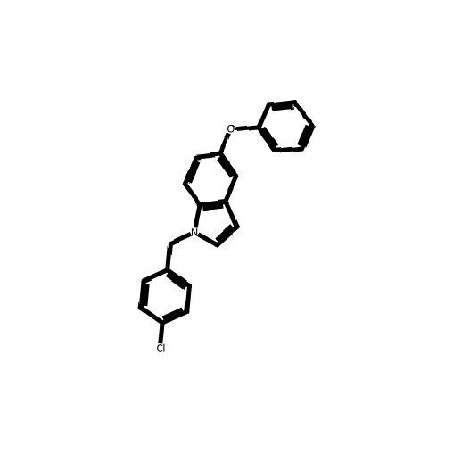 Clc1ccc(Cn2ccc3cc(Oc4ccccc4)ccc32)cc1